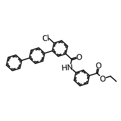 CCOC(=O)c1cccc(NC(=O)c2ccc(Cl)c(-c3ccc(-c4ccccc4)cc3)c2)c1